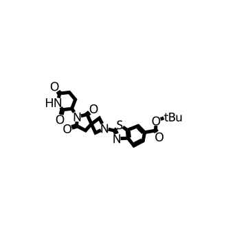 CC(C)(C)OC(=O)c1ccc2nc(N3CC4(CC(=O)N(C5CCC(=O)NC5=O)C4=O)C3)sc2c1